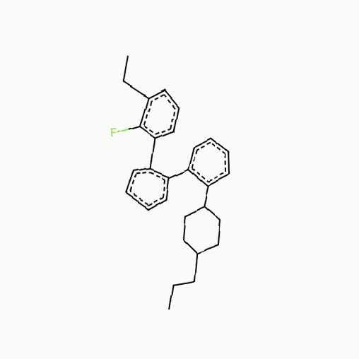 CCCC1CCC(c2ccccc2-c2ccccc2-c2cccc(CC)c2F)CC1